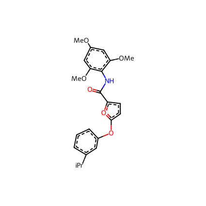 COc1cc(OC)c(NC(=O)c2ccc(Oc3cccc(C(C)C)c3)o2)c(OC)c1